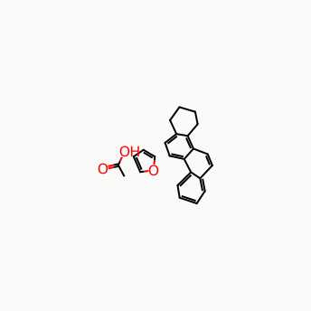 CC(=O)O.c1ccc2c(c1)ccc1c3c(ccc12)CCCC3.c1ccoc1